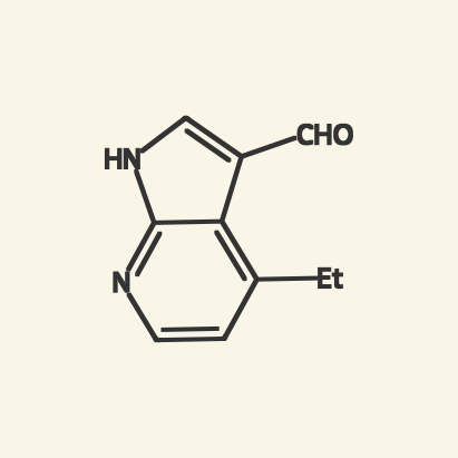 CCc1ccnc2[nH]cc(C=O)c12